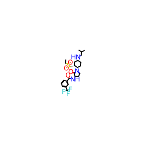 CCS(=O)(=O)C[C@@H]1C[C@H](NCC(C)C)CC[C@@H]1N1CC[C@H](NC(=O)c2cccc(C(F)(F)F)c2)C1=O